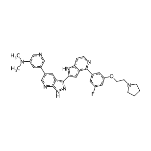 CN(C)c1cncc(-c2cnc3[nH]nc(-c4cc5c(-c6cc(F)cc(OCCN7CCCC7)c6)nccc5[nH]4)c3c2)c1